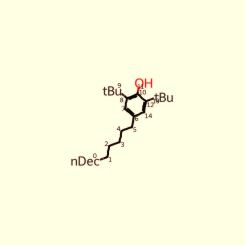 CCCCCCCCCCCCCCCc1cc(C(C)(C)C)c(O)c(C(C)(C)C)c1